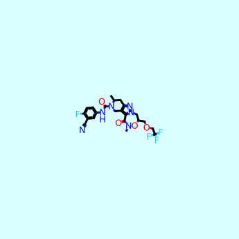 CC1Cc2nn3c(c2CN1C(=O)Nc1ccc(F)c(C#N)c1)C(=O)N(C)OC(COCC(F)(F)F)C3